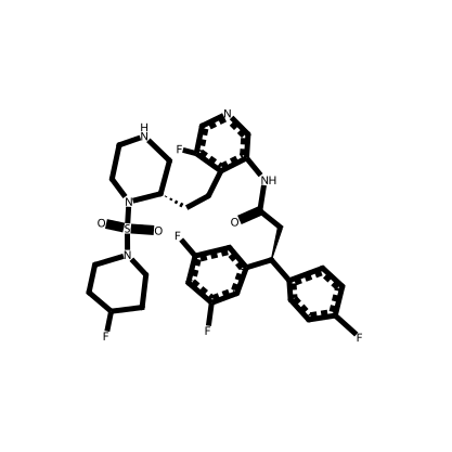 O=C(C[C@@H](c1ccc(F)cc1)c1cc(F)cc(F)c1)Nc1cncc(F)c1CC[C@H]1CNCCN1S(=O)(=O)N1CCC(F)CC1